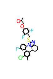 CC(=O)COc1cc(F)c(CSc2nc3c(n2-c2ccc(F)cc2)C(c2ccc(Cl)c(C)c2)CCC3)c(F)c1